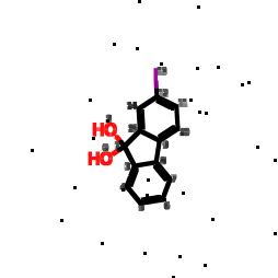 OC1(O)c2ccccc2-c2ccc(I)cc21